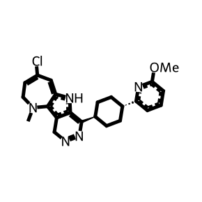 COc1cccc([C@H]2CC[C@H](C3=c4[nH]c5c(c4CN=N3)N(C)CC=C(Cl)C=5)CC2)n1